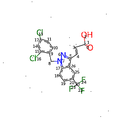 O=C(O)C=Cc1nn(Cc2ccc(Cl)cc2Cl)c2ccc(C(F)(F)F)cc12